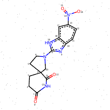 O=C1CCC2(CCN(c3nc4ccc([N+](=O)[O-])cc4[nH]3)C2)C(=O)N1